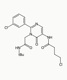 CC(C)(C)NC(=O)Cn1c(-c2cccc(Cl)c2)ncc(NC(=O)CCCCl)c1=O